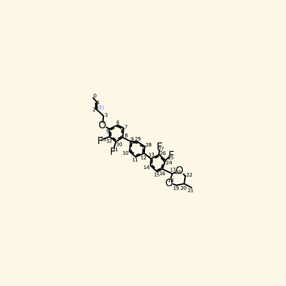 C/C=C/COc1ccc(-c2ccc(-c3ccc(C4OCC(C)CO4)c(F)c3F)cc2)c(F)c1F